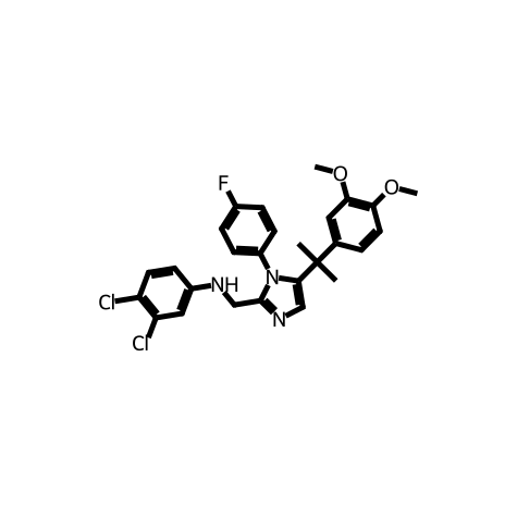 COc1ccc(C(C)(C)c2cnc(CNc3ccc(Cl)c(Cl)c3)n2-c2ccc(F)cc2)cc1OC